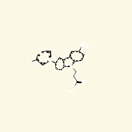 Cc1cn(-c2ccc3c(c2)c2cc(C(=O)O)ccc2n3CCC(N)=O)cn1